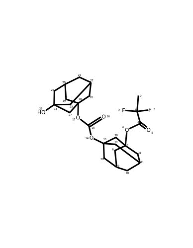 CC(F)(F)C(=O)OC12CC3CC(CC(OC(=O)OC45CC6CC(CC(O)(C6)C4)C5)(C3)C1)C2